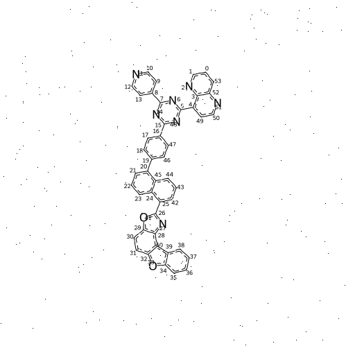 c1cnc2c(-c3nc(-c4ccncc4)nc(-c4ccc(-c5cccc6c(-c7nc8c(ccc9oc%10ccccc%10c98)o7)cccc56)cc4)n3)ccnc2c1